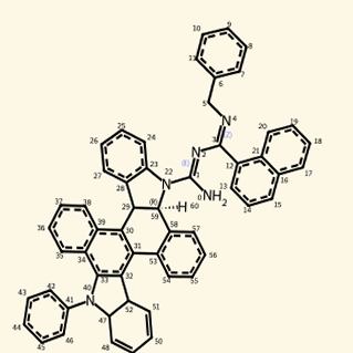 N/C(=N\C(=N/Cc1ccccc1)c1cccc2ccccc12)N1c2ccccc2C2c3c(c4c(c5ccccc35)N(c3ccccc3)C3C=CC=CC43)-c3ccccc3[C@@H]21